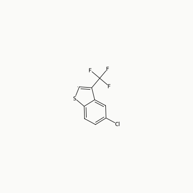 FC(F)(F)c1[c]sc2ccc(Cl)cc12